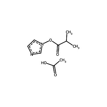 CC(=O)O.CC(C)C(=O)On1ccnc1